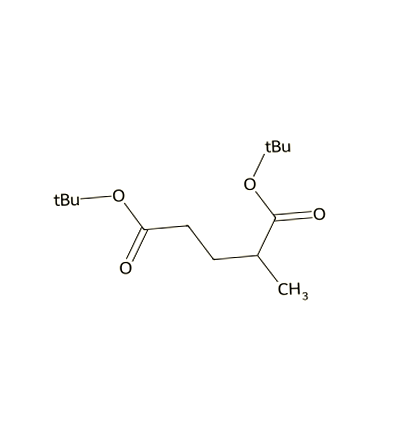 CC(CCC(=O)OC(C)(C)C)C(=O)OC(C)(C)C